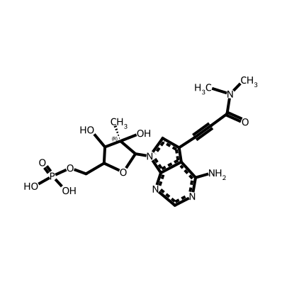 CN(C)C(=O)C#Cc1cn(C2OC(COP(=O)(O)O)C(O)[C@@]2(C)O)c2ncnc(N)c12